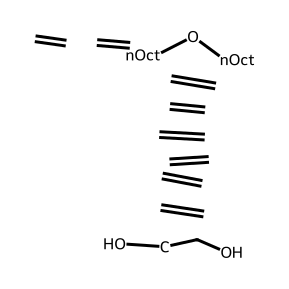 C=C.C=C.C=C.C=C.C=C.C=C.C=C.C=C.CCCCCCCCOCCCCCCCC.OCCO